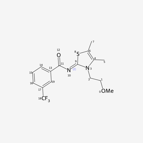 COCCn1c(C)c(C)s/c1=N\C(=O)c1cccc(C(F)(F)F)c1